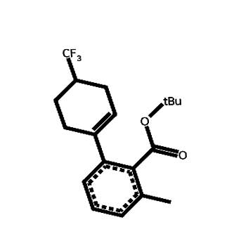 Cc1cccc(C2=CCC(C(F)(F)F)CC2)c1C(=O)OC(C)(C)C